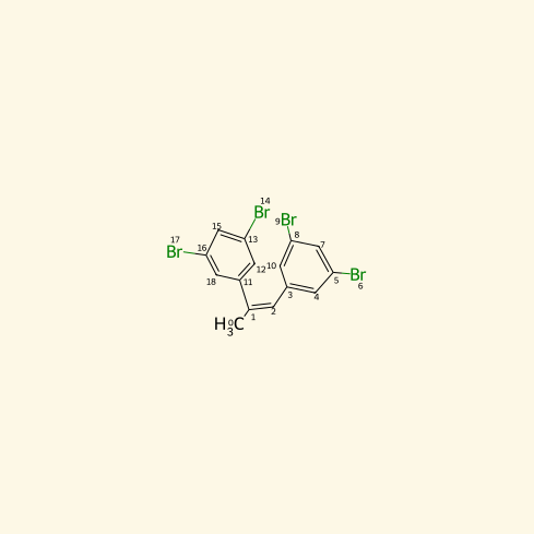 CC(=Cc1cc(Br)cc(Br)c1)c1cc(Br)cc(Br)c1